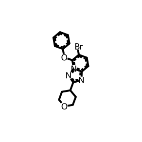 Brc1ccc2nc(C3CCOCC3)nn2c1Oc1ccccc1